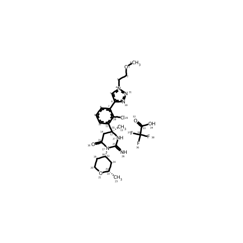 COCCn1cc(-c2cccc([C@]3(C)CC(=O)N([C@H]4CCO[C@@H](C)C4)C(=N)N3)c2Cl)nn1.O=C(O)C(F)(F)F